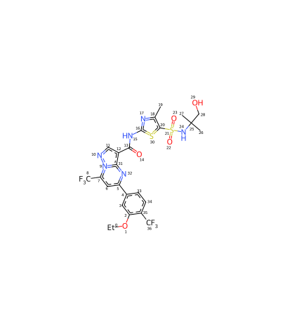 CCOc1cc(-c2cc(C(F)(F)F)n3ncc(C(=O)Nc4nc(C)c(S(=O)(=O)NC(C)(C)CO)s4)c3n2)ccc1C(F)(F)F